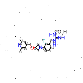 Cc1cc(COC2CN(c3cccc(CNC(=N)NC(=O)O)c3F)C2)cc(C)n1